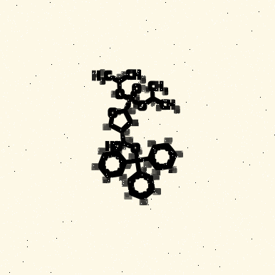 CC(C)OP(=O)(OC(C)C)[C@H]1C[C@@H](C(O)OC(c2ccccc2)(c2ccccc2)c2ccccc2)CO1